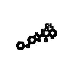 COc1cccnc1C(=O)Nc1nc2ccc(Oc3ccccc3)cc2s1